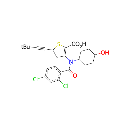 CC(C)(C)C#CC1CC(N(C(=O)c2ccc(Cl)cc2Cl)C2CCC(O)CC2)=C(C(=O)O)S1